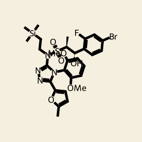 COc1cccc(OC)c1-n1c(-c2ccc(C)o2)nnc1N(CC[Si](C)(C)C)S(=O)(=O)[C@@H](C)[C@@H](O)c1ccc(Br)cc1F